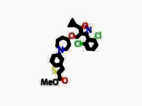 COC(=O)c1cc2cc(N3CCCC(OCc4c(-c5c(Cl)cccc5Cl)noc4C4CC4)CC3)ccc2s1